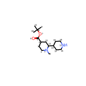 CN1CCC(C(=O)OC(C)(C)C)CC1C1CCNCC1